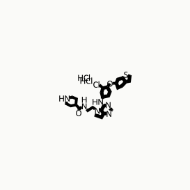 Cl.Cl.O=C(NCCn1ccc2ncnc(Nc3ccc(Oc4ccc5ccsc5c4)c(Cl)c3)c21)C1CCNCC1